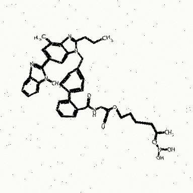 CCCc1nc2c(C)cc(-c3nc4ccccc4n3C)cc2n1Cc1ccc(-c2ccccc2C(=O)NCC(=O)OCCCCC(C)ON(O)O)cc1